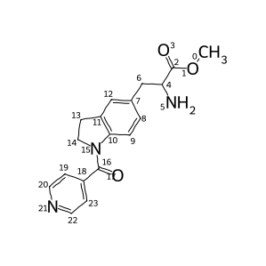 COC(=O)C(N)Cc1ccc2c(c1)CCN2C(=O)c1ccncc1